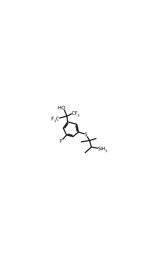 CC([SiH3])C(C)(C)Sc1cc(F)cc(C(O)(C(F)(F)F)C(F)(F)F)c1